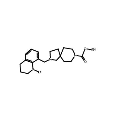 CCN1CCCc2cccc(CN3CCC4(CCN(C(=O)OC(C)(C)C)CC4)C3)c21